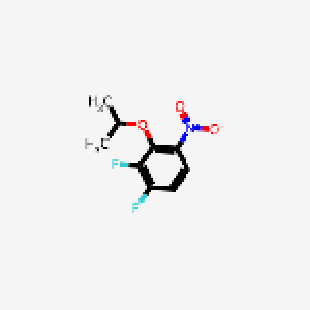 CC(C)Oc1c([N+](=O)[O-])ccc(F)c1F